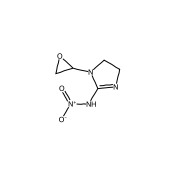 O=[N+]([O-])NC1=NCCN1C1CO1